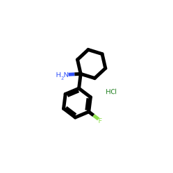 Cl.NC1(c2cccc(F)c2)CCCCC1